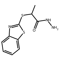 CC(Sc1nc2ccccc2s1)C(=O)NN